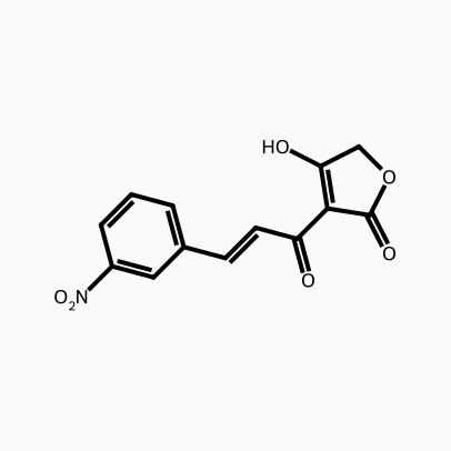 O=C(/C=C/c1cccc([N+](=O)[O-])c1)C1=C(O)COC1=O